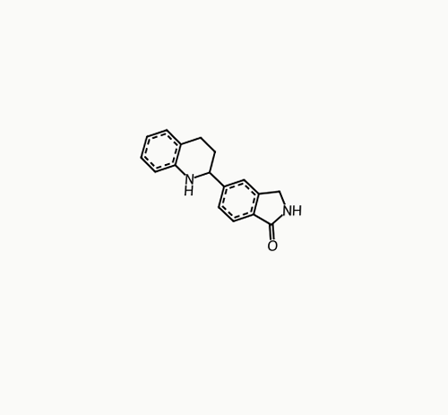 O=C1NCc2cc(C3CCc4ccccc4N3)ccc21